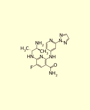 C[C@H](N)[C@@H](C)Nc1nc(Nc2ccnc(-n3nccn3)c2)c(C(N)=O)cc1F